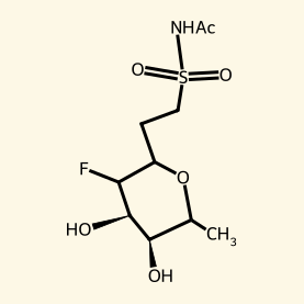 CC(=O)NS(=O)(=O)CCC1OC(C)[C@@H](O)[C@@H](O)C1F